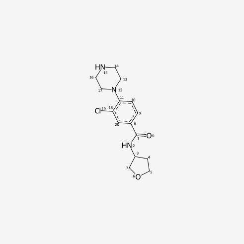 O=C(NC1CCOC1)c1ccc(N2CCNCC2)c(Cl)c1